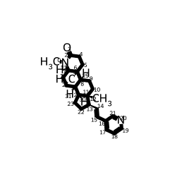 CN1C(=O)CC[C@]2(C)[C@H]3CC[C@]4(C)[C@@H](C=Cc5cccnc5)CC[C@H]4[C@@H]3CC[C@@H]12